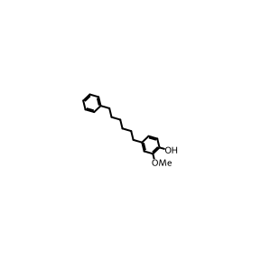 COc1cc(CCCCCCc2ccccc2)ccc1O